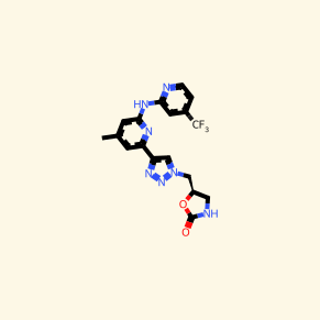 Cc1cc(Nc2cc(C(F)(F)F)ccn2)nc(-c2cn(C[C@H]3CNC(=O)O3)nn2)c1